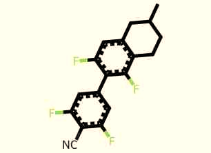 CC1CCc2c(cc(F)c(-c3cc(F)c(C#N)c(F)c3)c2F)C1